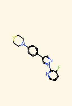 Fc1cccnc1-n1cc(-c2ccc(N3CCSCC3)cc2)cn1